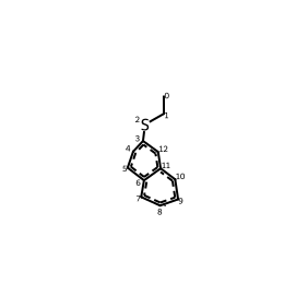 CCSc1ccc2c[c]ccc2c1